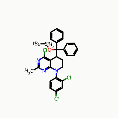 Cc1nc(Cl)c2c(n1)N(c1ccc(Cl)cc1Cl)CCC2C(O[SiH2]C(C)(C)C)(c1ccccc1)c1ccccc1